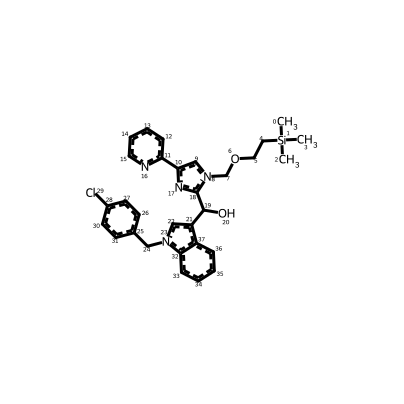 C[Si](C)(C)CCOCn1cc(-c2ccccn2)nc1C(O)c1cn(Cc2ccc(Cl)cc2)c2ccccc12